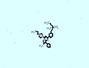 CCCCC(C)(C)CCc1cccc(-c2cc(N3CCN(CCN)CC3)n3nc(C)c(-c4ccccc4)c3n2)c1